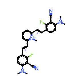 CN(C)c1ccc(/C=C/c2cccc(/C=C/c3ccc(N(C)C)c(C#N)c3F)[n+]2C)c(F)c1C#N